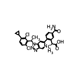 C[C@H](C(=O)O)c1cc(C(N)=O)ccc1-c1cc2c(cn1)nnn2[C@H](C)c1c(Cl)ccc(C2CC2)c1Cl